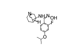 CC(C)Oc1ccc(/C(=N\O)N[C@H]2CN3CCC2CC3)c(F)c1